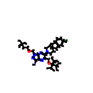 CC(C)[Si](OCc1nc2c(I)nn(COCC[Si](C)(C)C)c2nc1N1CCC2([CH]c3ccc(F)cc3C2)CC1)(C(C)C)C(C)C